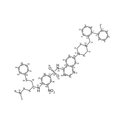 Cc1ccccc1-c1ccccc1CN1CCN(c2ccc3c(NS(=O)(=O)c4ccc(NC(CCN(C)C)CSc5ccccc5)c([N+](=O)[O-])c4)ncnc3c2)CC1